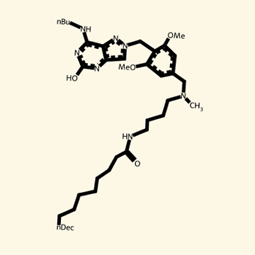 CCCCCCCCCCCCCCCCCC(=O)NCCCCN(C)Cc1cc(OC)c(Cn2cc3nc(O)nc(NCCCC)c3n2)c(OC)c1